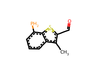 Cc1c(C=O)sc2c(P)cccc12